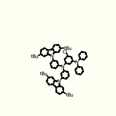 CC(C)(C)c1ccc2c3ccc(C(C)(C)C)cc3n(-c3cccc(N(c4cc(Cl)cc(N(c5ccccc5)c5ccccc5)c4)c4cccc(-n5c6cc(C(C)(C)C)ccc6c6ccc(C(C)(C)C)cc65)c4)c3)c2c1